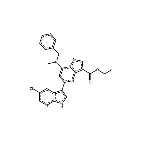 CCOC(=O)c1cnn2c(N(C)Cc3ccccc3)cc(-c3c[nH]c4ncc(Cl)cc34)nc12